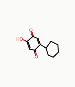 O=C1C=C(C2CCCCC2)C(=O)C=C1O